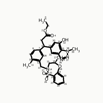 CCOC(=O)CC(c1ccc(C)c(CN2C[C@@H](C)Oc3ccccc3S2(=O)=O)c1)c1cc(O)c2c(c1)nnn2C